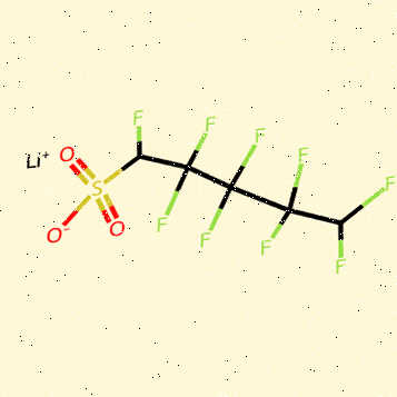 O=S(=O)([O-])C(F)C(F)(F)C(F)(F)C(F)(F)C(F)F.[Li+]